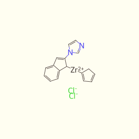 C1=CC[C]([Zr+2][CH]2C(n3ccnc3)=Cc3ccccc32)=C1.[Cl-].[Cl-]